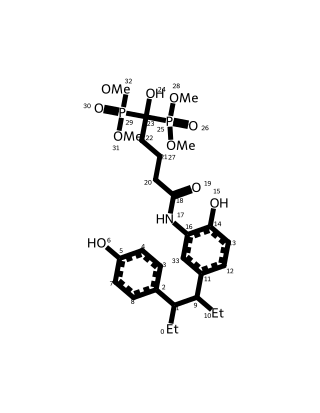 CCC(c1ccc(O)cc1)C(CC)c1ccc(O)c(NC(=O)CCCC(O)(P(=O)(OC)OC)P(=O)(OC)OC)c1